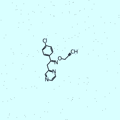 C#CCON=C(Cc1cnccn1)c1ccc(Cl)cc1